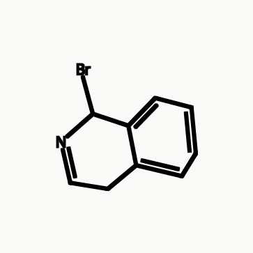 BrC1N=CCc2ccccc21